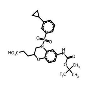 CC(C)(OC(=O)Nc1ccc2c(c1)N(S(=O)(=O)c1cccc(C3CC3)c1)CC(CCC(=O)O)O2)C(F)(F)F